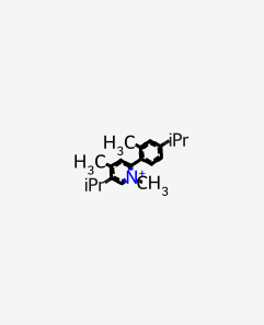 Cc1cc(C(C)C)ccc1-c1cc(C)c(C(C)C)c[n+]1C